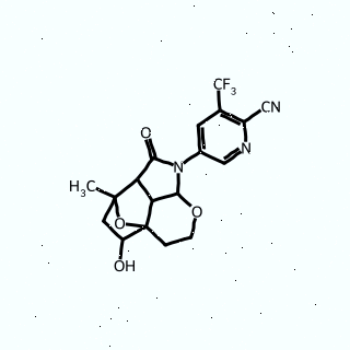 CC12CC(O)C3(CCOC4C3C1C(=O)N4c1cnc(C#N)c(C(F)(F)F)c1)O2